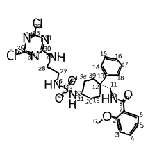 COc1ccccc1C(=O)NC[C@]1(c2ccccc2)CC[C@H](NS(=O)(=O)NCCNc2nc(Cl)nc(Cl)n2)CC1